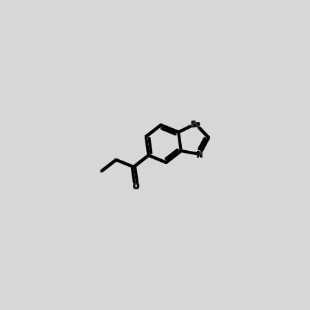 CCC(=O)c1ccc2[se]cnc2c1